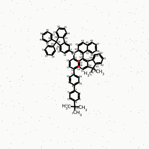 CC(C)(C)c1ccc(-c2ccc(-c3ccc(N(c4ccc5c(c4)-c4ccccc4C5(c4ccccc4)c4ccccc4)c4ccc5ccccc5c4-c4cccc5c4-c4ccccc4C5(C)C)cc3)cc2)cc1